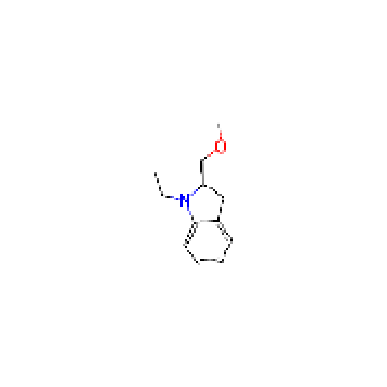 CCN1c2ccccc2C[C@@H]1COC